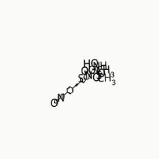 CC(CCN1Cc2cc(C#Cc3ccc(C4CN(C5COC5)C4)cc3)sc2C1=O)(C(=O)NO)S(C)(=O)=O